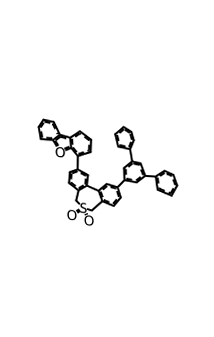 O=S1(=O)Cc2ccc(-c3cc(-c4ccccc4)cc(-c4ccccc4)c3)cc2-c2cc(-c3cccc4c3oc3ccccc34)ccc2C1